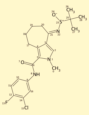 Cn1cc2c(c1C(=O)Nc1ccc(F)c(Cl)c1)CCCCC2=N[S+]([O-])C(C)(C)C